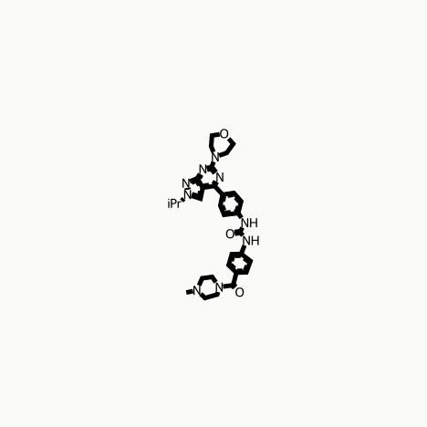 CC(C)n1cc2c(-c3ccc(NC(=O)Nc4ccc(C(=O)N5CCN(C)CC5)cc4)cc3)nc(N3CCOCC3)nc2n1